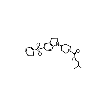 CC(C)COC(=O)N1CCC(N2CCc3cc(S(=O)(=O)c4ccccc4)ccc32)CC1